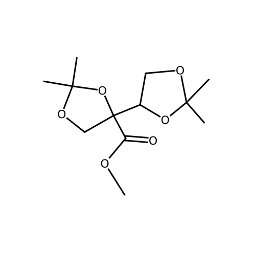 COC(=O)C1(C2COC(C)(C)O2)COC(C)(C)O1